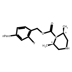 CCCCCc1ccc(COC(=O)N2[C@H](C)CNC[C@@H]2C)c(F)c1